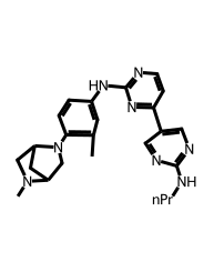 CCCNc1ncc(-c2ccnc(Nc3ccc(N4CC5CC4CN5C)c(C)c3)n2)cn1